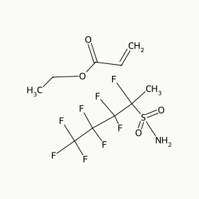 C=CC(=O)OCC.CC(F)(C(F)(F)C(F)(F)C(F)(F)F)S(N)(=O)=O